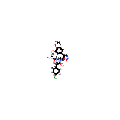 COc1ccc(-c2cnoc2NC(=O)C(OC(C)C)c2ccc(Cl)cc2)cc1OC